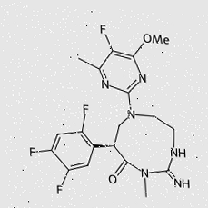 COc1nc(N2CCNC(=N)N(C)C(=O)[C@@H](c3cc(F)c(F)cc3F)C2)nc(C)c1F